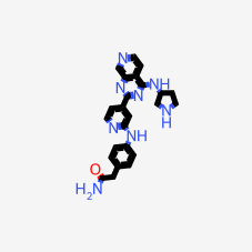 NC(=O)Cc1ccc(Nc2cc(-c3nc(NC4CCNC4)c4ccncc4n3)ccn2)cc1